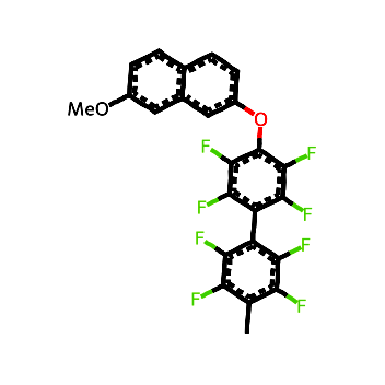 COc1ccc2ccc(Oc3c(F)c(F)c(-c4c(F)c(F)c(C)c(F)c4F)c(F)c3F)cc2c1